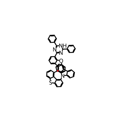 c1ccc(C2=NC(c3cccc4c3oc3cccc(-c5cccc6sc7cccc(-n8c9ccccc9c9ccccc98)c7c56)c34)=NC(c3ccccc3)N2)cc1